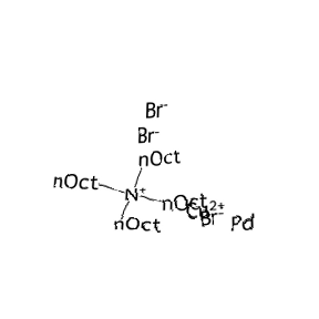 CCCCCCCC[N+](CCCCCCCC)(CCCCCCCC)CCCCCCCC.[Br-].[Br-].[Br-].[Cu+2].[Pd]